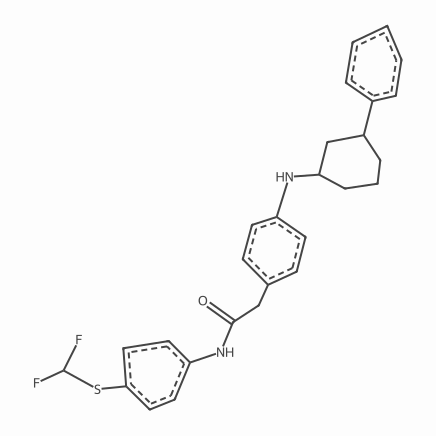 O=C(Cc1ccc(NC2CCCC(c3ccccc3)C2)cc1)Nc1ccc(SC(F)F)cc1